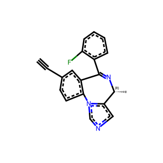 C#Cc1ccc2c(c1)C(c1ccccc1F)=N[C@H](C)c1cncn1-2